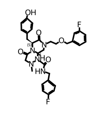 CN1CC(=O)N2[C@@H](Cc3ccc(O)cc3)C(=O)N(CCOCc3cccc(F)c3)C[C@@H]2N1C(=O)NCc1ccc(F)cc1